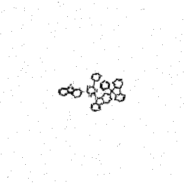 c1ccc(-c2nc(-c3ccc4c(c3)sc3ccccc34)nc(-n3c4ccccc4c4ccc(C5(c6ccccc6)c6ccccc6-c6ccccc65)cc43)n2)cc1